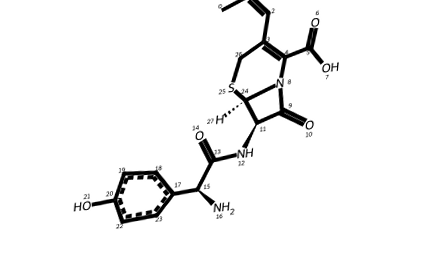 C/C=C\C1=C(C(=O)O)N2C(=O)[C@@H](NC(=O)[C@@H](N)c3ccc(O)cc3)[C@H]2SC1